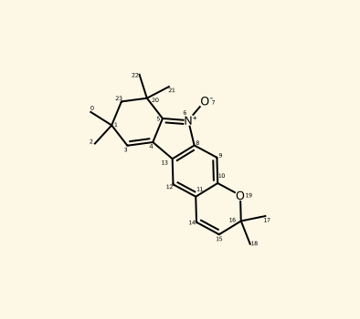 CC1(C)C=C2C(=[N+]([O-])c3cc4c(cc32)C=CC(C)(C)O4)C(C)(C)C1